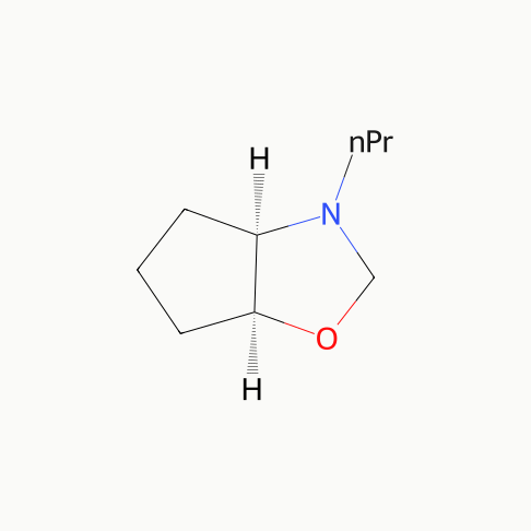 CCCN1CO[C@H]2CCC[C@H]21